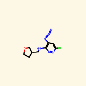 [N-]=[N+]=Nc1cc(Cl)nnc1NC[C@H]1CCOC1